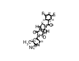 Cc1cc(N2C(=O)[C@@H]3[C@@H]4C[C@@H](CN4C(=O)c4cc(F)cc(F)c4)N3C2=O)cnc1C#N